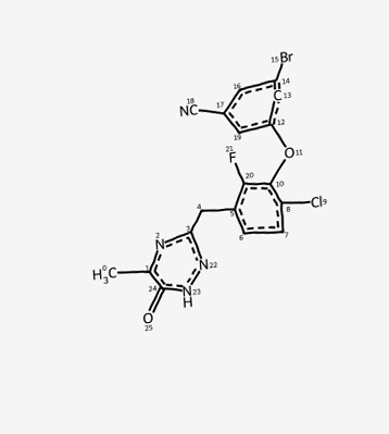 Cc1nc(Cc2ccc(Cl)c(Oc3cc(Br)cc(C#N)c3)c2F)n[nH]c1=O